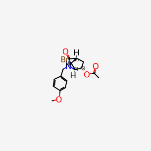 COc1ccc(CN2C(=O)[C@H]3C[C@H](OC(C)=O)[C@@H]2[C@@H]3Br)cc1